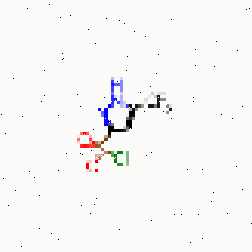 O=S(=O)(Cl)c1cc(C(F)(F)F)[nH]n1